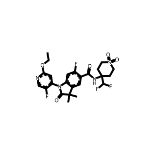 CCOc1cc(N2C(=O)C(C)(C)c3cc(C(=O)NC4(C(F)F)CCS(=O)(=O)CC4)c(F)cc32)c(F)cn1